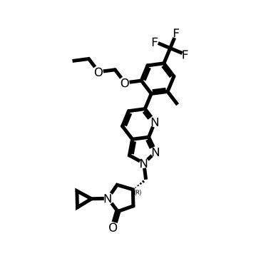 CCOCOc1cc(C(F)(F)F)cc(C)c1-c1ccc2cn(C[C@@H]3CC(=O)N(C4CC4)C3)nc2n1